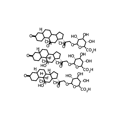 C[C@]12CC(=O)C3C(CC[C@@H]4CC(=O)CC[C@]34C)C1CC[C@@H]2C(=O)COC1O[C@H](C(=O)O)[C@@H](O)[C@H](O)[C@H]1O.C[C@]12C[C@@H](O)[C@@]3(F)C(CC[C@H]4CC(=O)CC[C@@]43C)C1CC[C@@H]2C(=O)COC1O[C@H](C(=O)O)[C@@H](O)[C@H](O)[C@H]1O.C[C@]12C[C@@H](O)[C@@]3(F)[C@@H](CC[C@@H]4CC(=O)CC[C@@]43C)[C@@H]1CC[C@@H]2C(=O)COC1O[C@H](C(=O)O)[C@@H](O)[C@H](O)[C@H]1O